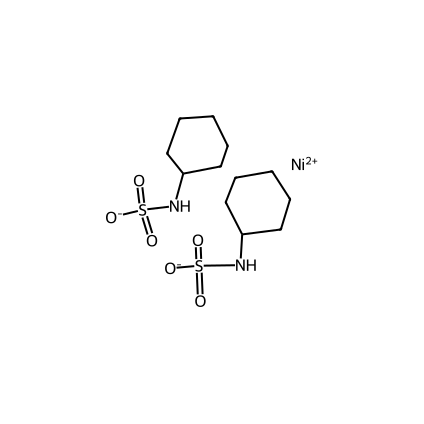 O=S(=O)([O-])NC1CCCCC1.O=S(=O)([O-])NC1CCCCC1.[Ni+2]